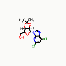 CC1(C)O[C@@H]2[C@H](O1)C(CO)O[C@H]2n1cnc2c(Cl)cc(Cl)nc21